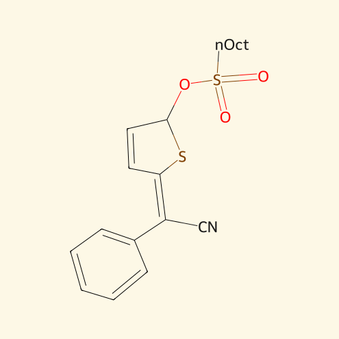 CCCCCCCCS(=O)(=O)OC1C=CC(=C(C#N)c2ccccc2)S1